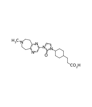 CN1CCc2ncc(-n3ccn(C4CCC(CCC(=O)O)CC4)c3=O)nc2CC1